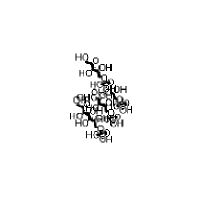 O=C(CO)[C@@H](O)[C@H](O)COP(=O)(O)O.O=C(CO)[C@@H](O)[C@H](O)[C@H](O)[C@H](O)COP(=O)(O)O.O=CC(O)COP(=O)(O)O.O=C[C@H](O)[C@H](O)[C@H](O)COP(=O)(O)O